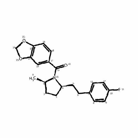 C[C@@H]1CC[C@H](CCc2ccc(F)cc2)N1C(=O)c1ccc2c(c1)OCO2